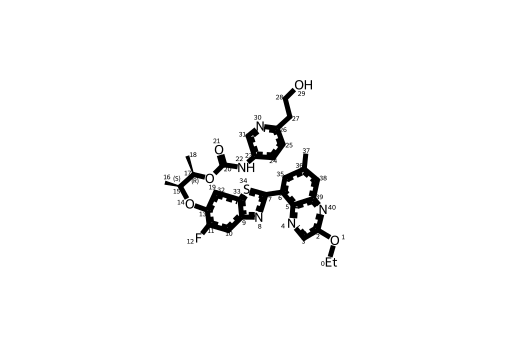 CCOc1cnc2c(-c3nc4cc(F)c(O[C@@H](C)[C@@H](C)OC(=O)Nc5ccc(CCO)nc5)cc4s3)cc(C)cc2n1